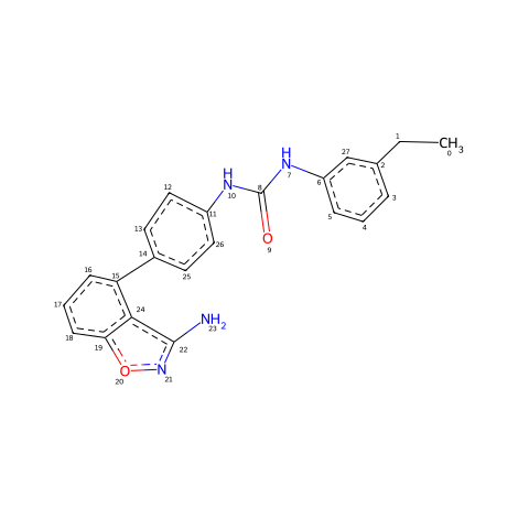 CCc1cccc(NC(=O)Nc2ccc(-c3cccc4onc(N)c34)cc2)c1